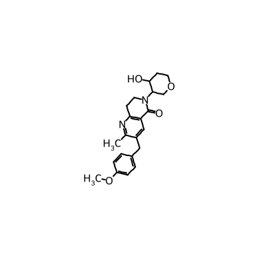 COc1ccc(Cc2cc3c(nc2C)CCN(C2COCCC2O)C3=O)cc1